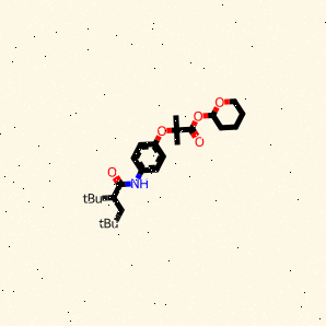 CC(C)(C)CC(C(=O)Nc1ccc(OC(C)(C)C(=O)OC2CCCCO2)cc1)C(C)(C)C